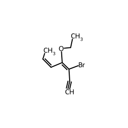 C#C/C(Br)=C(\C=C/C)OCC